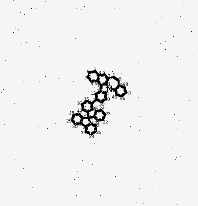 C1=Cc2cc3ccccc3c3c4cc(-c5cccc(C6(c7ccccc7)c7ccccc7-c7ccccc76)c5)ccc4n(c23)-c2ccccc21